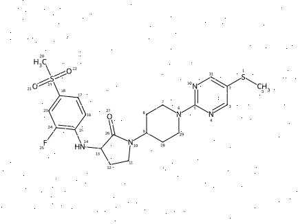 CSc1cnc(N2CCC(N3CCC(Nc4ccc(S(C)(=O)=O)cc4F)C3=O)CC2)nc1